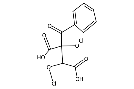 O=C(O)C(OCl)C(OCl)(C(=O)O)C(=O)c1ccccc1